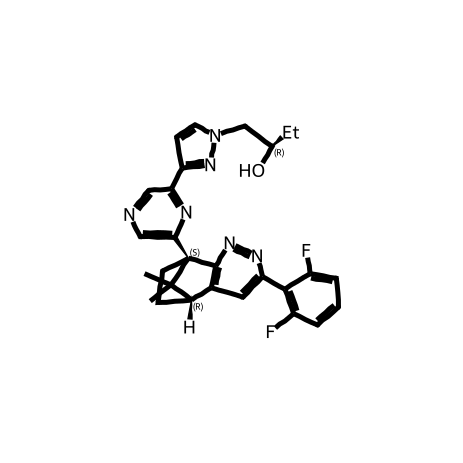 CC[C@@H](O)Cn1ccc(-c2cncc([C@@]34CC[C@@H](c5cc(-c6c(F)cccc6F)nnc53)C4(C)C)n2)n1